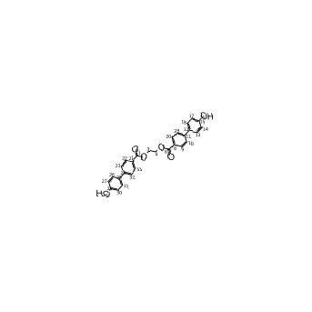 O=C(OCCOC(=O)c1ccc(-c2ccc(O)cc2)cc1)c1ccc(-c2ccc(O)cc2)cc1